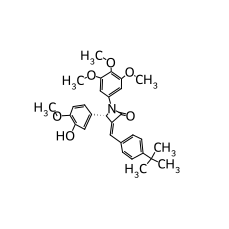 COc1ccc([C@H]2/C(=C/c3ccc(C(C)(C)C)cc3)C(=O)N2c2cc(OC)c(OC)c(OC)c2)cc1O